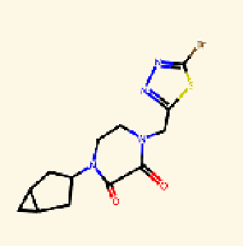 O=C1C(=O)N(C2CC3CC3C2)CCN1Cc1nnc(Br)s1